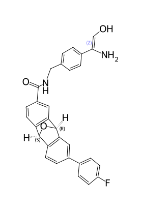 N/C(=C\O)c1ccc(CNC(=O)c2ccc3c(c2)[C@@H]2O[C@H]3c3ccc(-c4ccc(F)cc4)cc32)cc1